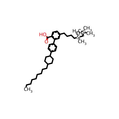 CCCCCCCCCC1CCC(c2ccc(-c3cc(CCCC[Si](C)(C)C[Si](C)(C)C)ccc3C(=O)O)cc2)CC1